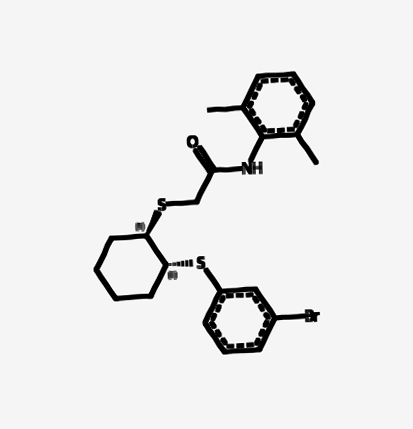 Cc1cccc(C)c1NC(=O)CS[C@@H]1CCCC[C@H]1Sc1cccc(Br)c1